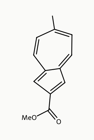 COC(=O)c1cc2ccc(C)ccc-2c1